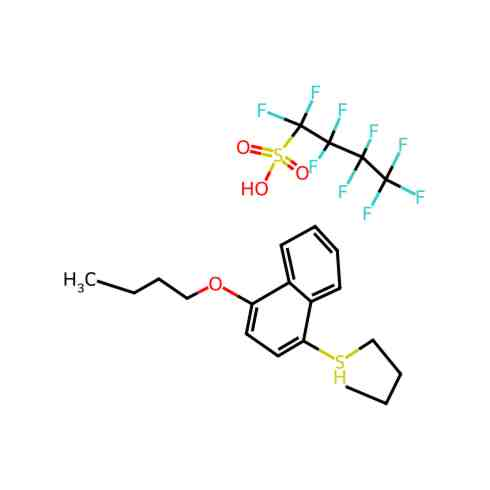 CCCCOc1ccc([SH]2CCCC2)c2ccccc12.O=S(=O)(O)C(F)(F)C(F)(F)C(F)(F)C(F)(F)F